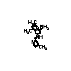 Cc1ccnc(CNC(CCCN)Cc2ncc(C)cc2C)c1